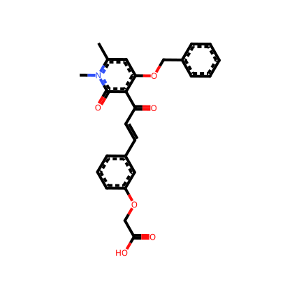 Cc1cc(OCc2ccccc2)c(C(=O)/C=C/c2cccc(OCC(=O)O)c2)c(=O)n1C